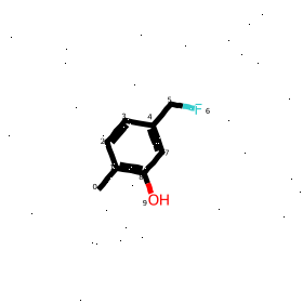 Cc1ccc(CF)cc1O